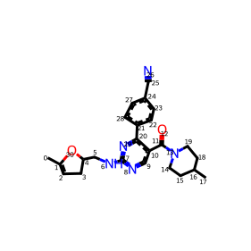 CC1=CCC(CNc2ncc(C(=O)N3CCC(C)CC3)c(-c3ccc(C#N)cc3)n2)O1